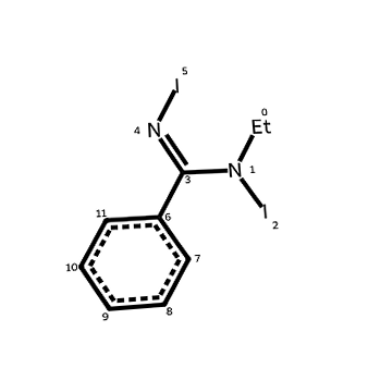 CCN(I)/C(=N\I)c1ccccc1